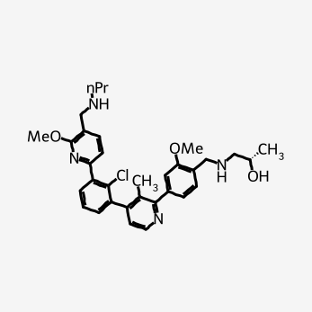 CCCNCc1ccc(-c2cccc(-c3ccnc(-c4ccc(CNC[C@H](C)O)c(OC)c4)c3C)c2Cl)nc1OC